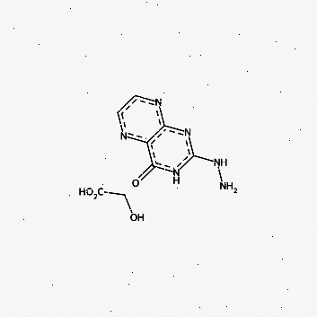 NNc1nc2nccnc2c(=O)[nH]1.O=C(O)CO